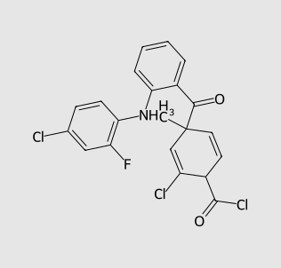 CC1(C(=O)c2ccccc2Nc2ccc(Cl)cc2F)C=CC(C(=O)Cl)C(Cl)=C1